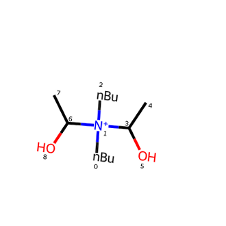 CCCC[N+](CCCC)(C(C)O)C(C)O